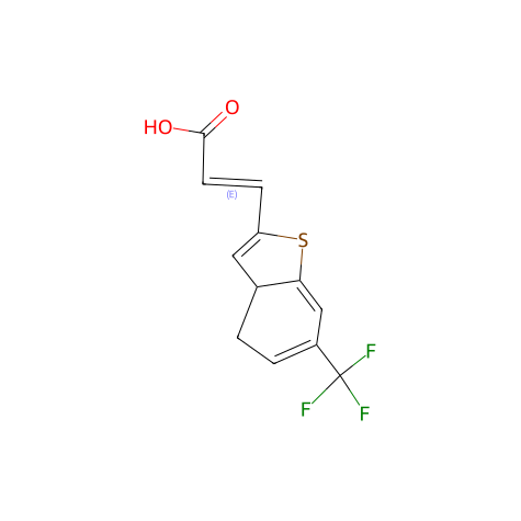 O=C(O)/C=C/C1=CC2CC=C(C(F)(F)F)C=C2S1